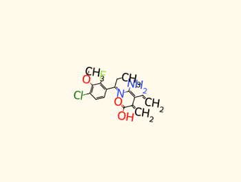 C=C/C(C(=C)C(=O)O)=C(N)/N=C(\CC)c1ccc(Cl)c(OC)c1F